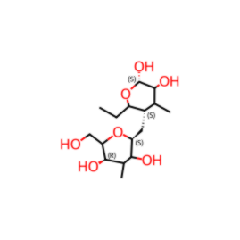 CCC1O[C@H](O)C(O)C(C)[C@@H]1C[C@@H]1OC(CO)[C@H](O)C(C)C1O